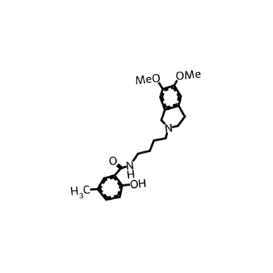 COc1cc2c(cc1OC)CN(CCCCNC(=O)c1cc(C)ccc1O)CC2